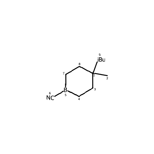 CCC(C)C1(C)CCB(C#N)CC1